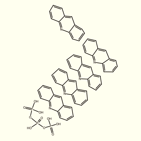 O=P(O)(O)OP(=O)(O)OP(=O)(O)O.c1ccc2nc3ccccc3cc2c1.c1ccc2nc3ccccc3cc2c1.c1ccc2nc3ccccc3cc2c1.c1ccc2nc3ccccc3cc2c1.c1ccc2nc3ccccc3cc2c1